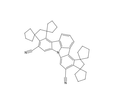 N#Cc1cc2c(c3c1C1(CCCC1)CC31CCCC1)c1cccc3c4c5c(c(C#N)cc4n2c13)C1(CCCC1)CC51CCCC1